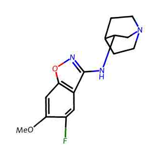 COc1cc2onc(NC3CN4CCC3CC4)c2cc1F